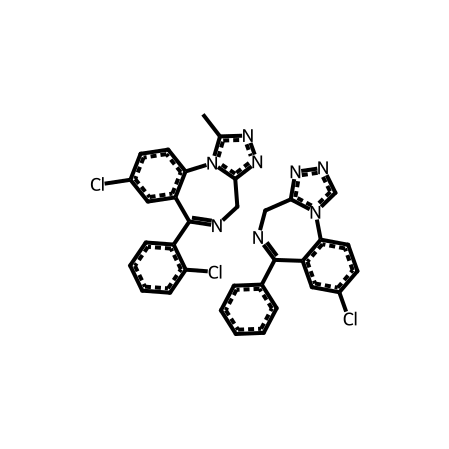 Cc1nnc2n1-c1ccc(Cl)cc1C(c1ccccc1Cl)=NC2.Clc1ccc2c(c1)C(c1ccccc1)=NCc1nncn1-2